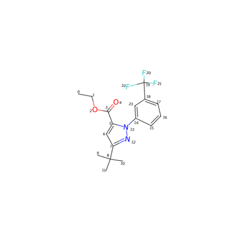 CCOC(=O)c1cc(C(C)(C)C)nn1-c1cccc(C(F)(F)F)c1